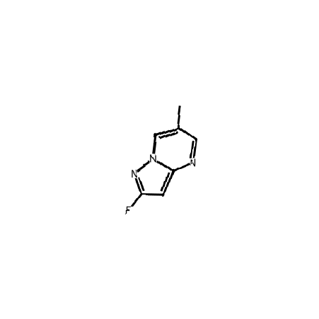 Cc1cnc2cc(F)nn2c1